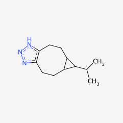 CC(C)C1C2CCc3nn[nH]c3CCC21